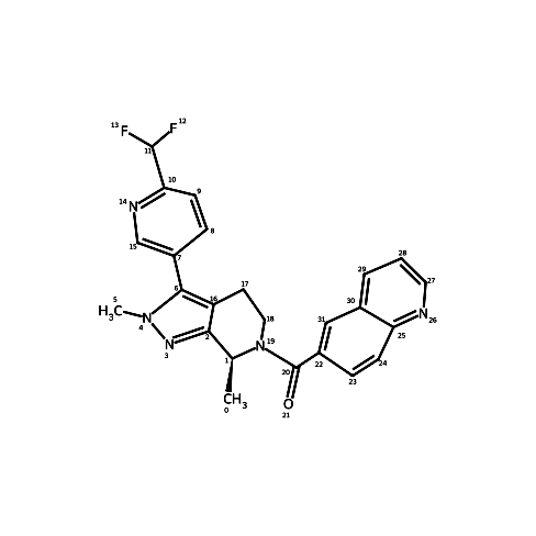 C[C@H]1c2nn(C)c(-c3ccc(C(F)F)nc3)c2CCN1C(=O)c1ccc2ncccc2c1